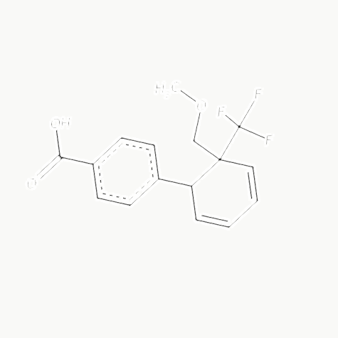 COCC1(C(F)(F)F)C=CC=CC1c1ccc(C(=O)O)cc1